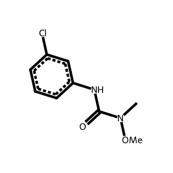 CON(C)C(=O)Nc1cccc(Cl)c1